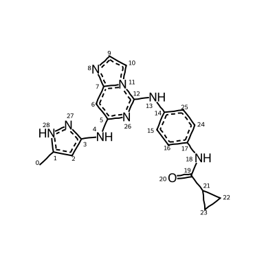 Cc1cc(Nc2cc3nccn3c(Nc3ccc(NC(=O)C4CC4)cc3)n2)n[nH]1